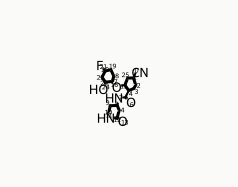 N#Cc1ccc(C(=O)Nc2cc[nH]c(=O)c2)c(Oc2ccc(F)cc2O)c1